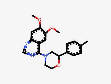 COc1cc2ncnc(N3CCOC(c4ccc(C)cc4)C3)c2cc1OC